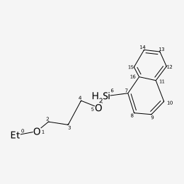 CCOCCCO[SiH2]c1cccc2ccccc12